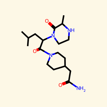 CC(C)CC(C(=O)N1CCC(CC(N)=O)CC1)N1CCNC(C)C1=O